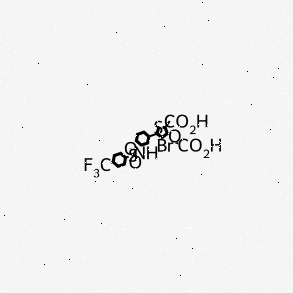 O=C(O)COc1c(C(=O)O)sc(-c2cccc(NS(=O)(=O)c3ccc(C(F)(F)F)cc3)c2)c1Br